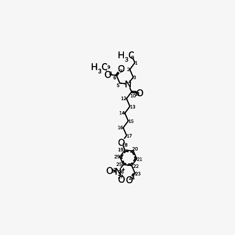 CCCCN(CC(=O)OC)C(=O)CCCCCCOc1ccc(C=O)c([N+](=O)[O-])c1